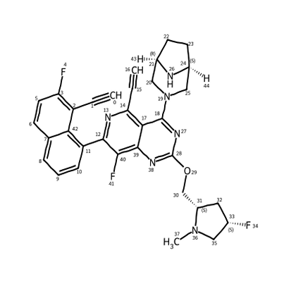 C#Cc1c(F)ccc2cccc(-c3nc(C#C)c4c(N5C[C@H]6CC[C@@H](C5)N6)nc(OC[C@@H]5C[C@H](F)CN5C)nc4c3F)c12